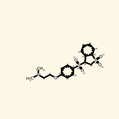 CN(C)CCOc1ccc(S(=O)(=O)C2CS(=O)(=O)c3ccccc32)cc1